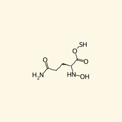 NC(=O)CC[C@H](NO)C(=O)OS